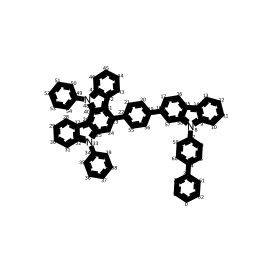 c1ccc(-c2ccc(-n3c4ccccc4c4ccc(-c5ccc(-c6cc7c(c8ccccc8n7-c7ccccc7)c7c6c6ccccc6n7-c6ccccc6)cc5)cc43)cc2)cc1